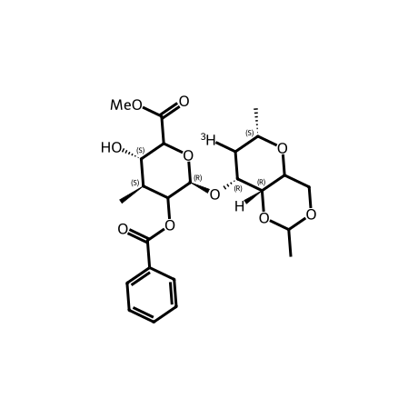 [3H]C1[C@H](C)OC2COC(C)O[C@@H]2[C@@H]1O[C@@H]1OC(C(=O)OC)[C@@H](O)[C@H](C)C1OC(=O)c1ccccc1